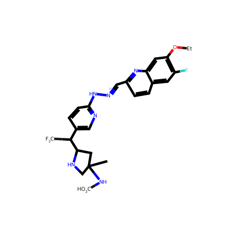 CCOc1cc2nc(/C=N/Nc3ccc(C(C4CC(C)(NC(=O)O)CN4)C(F)(F)F)cn3)ccc2cc1F